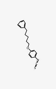 S=C=Nc1ccc(OCCCCCc2ccccc2)cc1